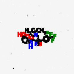 CC(C)N(CCO)Cc1c(C(=O)N[C@H]2CCC[C@@H](O)C2)noc1-c1ccc(C(F)(F)F)c(F)c1